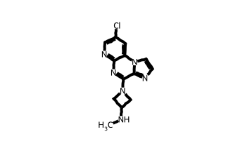 CNC1CN(c2nc3ncc(Cl)cc3n3ccnc23)C1